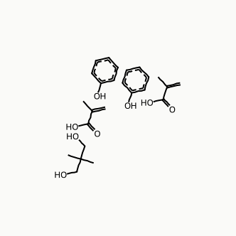 C=C(C)C(=O)O.C=C(C)C(=O)O.CC(C)(CO)CO.Oc1ccccc1.Oc1ccccc1